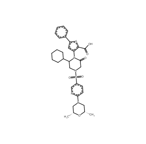 C[C@@H]1CN(c2ccc(S(=O)(=O)N3CC(=O)N(c4cc(-c5ccccc5)sc4C(=O)O)C(C4CCCCC4)C3)cn2)C[C@H](C)O1